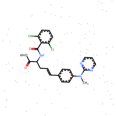 COC(=O)C(CC=Cc1ccc(N(C)c2ncccn2)cc1)NC(=O)c1c(Cl)cccc1Cl